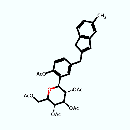 CC(=O)OCC1O[C@@H](c2cc(CC3=Cc4cc(C)ccc4C3)ccc2OC(C)=O)[C@H](OC(C)=O)[C@@H](OC(C)=O)[C@@H]1OC(C)=O